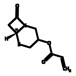 C=CC(=O)OC1CS[C@H]2CC(=O)N2C1